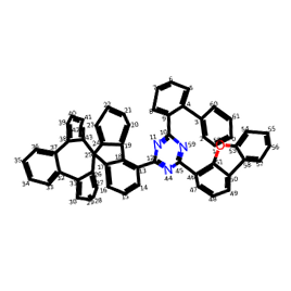 c1ccc(-c2ccccc2-c2nc(-c3cccc4c3-c3ccccc3C43c4ccccc4-c4ccccc4-c4ccccc43)nc(-c3cccc4c3oc3ccccc34)n2)cc1